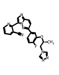 C[C@@H](Cn1cnnc1)Oc1cc(-c2ccc3ncc(-c4ncccc4C#N)n3n2)ccc1F